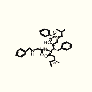 CC[C@H](C)CC(=O)N(NC(=O)CNCc1ccccc1)[C@@H](Cc1ccccc1)[C@H](O)CN(CC(C)C)S(=O)(=O)c1ccccc1